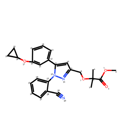 COC(=O)C(C)(C)OCc1cc(-c2cccc(OC3CC3)c2)n(-c2ccccc2C#N)n1